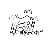 CC(=O)O.CC(=O)O.CC(=O)O.CC(=O)O.N.NCCN.[Ti]